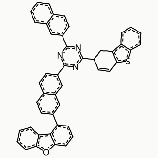 C1=CC(c2nc(-c3ccc4ccccc4c3)nc(-c3ccc4ccc(-c5cccc6oc7ccccc7c56)cc4c3)n2)Cc2c1sc1ccccc21